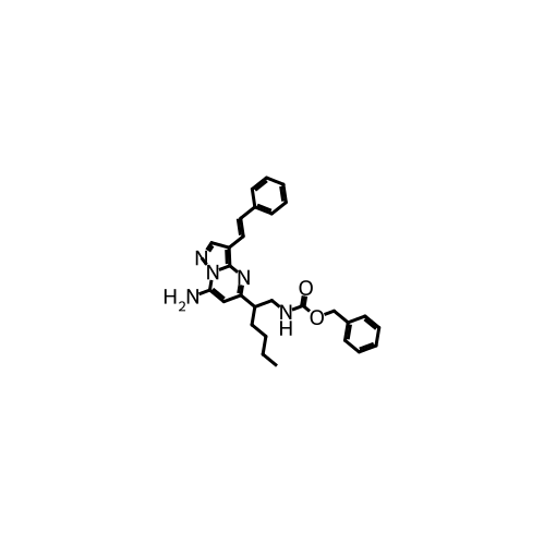 CCCCC(CNC(=O)OCc1ccccc1)c1cc(N)n2ncc(/C=C/c3ccccc3)c2n1